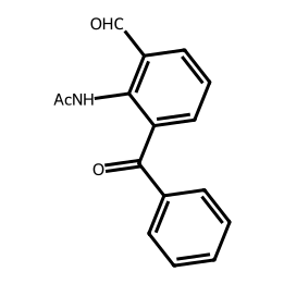 CC(=O)Nc1c(C=O)cccc1C(=O)c1ccccc1